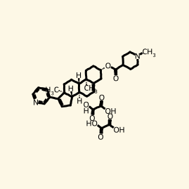 CN1CCC(C(=O)O[C@H]2CC[C@@]3(C)C(=CC[C@@H]4[C@@H]3CC[C@]3(C)C(c5cccnc5)=CC[C@@H]43)C2)CC1.O=C(O)C(=O)O.O=C(O)C(=O)O